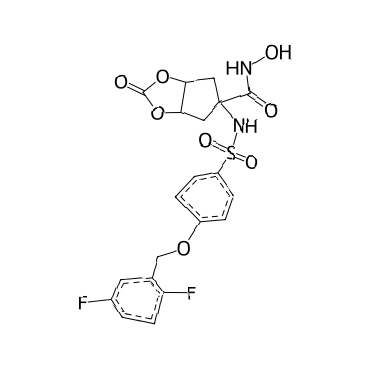 O=C1OC2CC(NS(=O)(=O)c3ccc(OCc4cc(F)ccc4F)cc3)(C(=O)NO)CC2O1